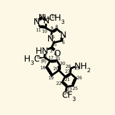 C[C@@H](NC(=O)c1cncc(-c2cnnn2C)n1)c1ccc(-c2cc(C(F)(F)F)ccc2CN)cc1